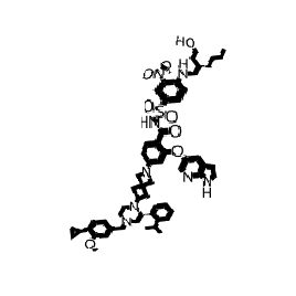 CCCC[C@H](CCO)CNc1ccc(S(=O)(=O)NC(=O)c2ccc(N3CC4(CC(N5CCN(Cc6ccc(C7CC7)c(OC)c6)C[C@H]5c5ccccc5C(C)C)C4)C3)cc2Oc2cnc3[nH]ccc3c2)cc1[N+](=O)[O-]